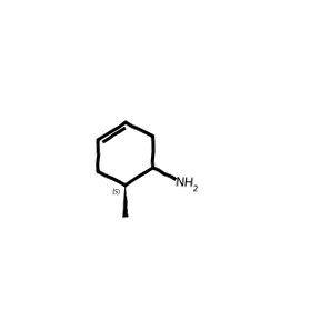 C[C@H]1CC=CCC1N